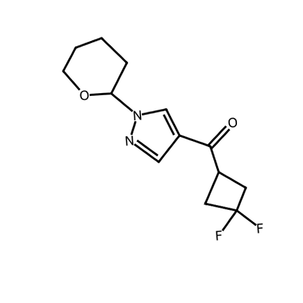 O=C(c1cnn(C2CCCCO2)c1)C1CC(F)(F)C1